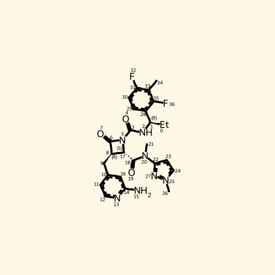 CC[C@@H](NC(=O)N1C(=O)[C@H](Cc2ccnc(N)c2)[C@H]1C(=O)N(C)c1ccn(C)n1)c1ccc(F)c(C)c1F